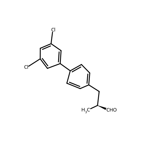 C[C@H](C=O)Cc1ccc(-c2cc(Cl)cc(Cl)c2)cc1